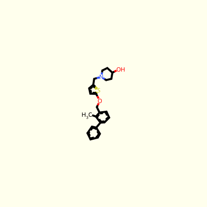 Cc1c(COc2ccc(CN3CCC(O)CC3)s2)cccc1-c1ccccc1